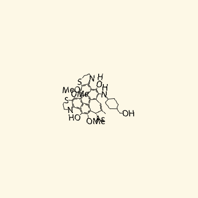 COc1c(O)c2c3c(c(OC)c4c5c(OC)c6c(c7c(O)c(NC8CCC(CO)CC8)c8c(c(c1C(C(C)=O)C(C)=C8)c24)c75)=NCCS6)SCCN=3